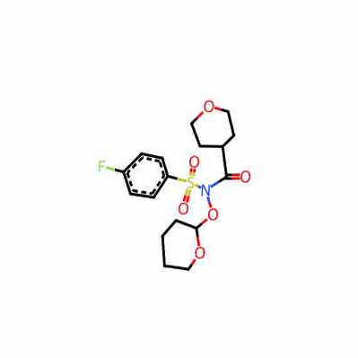 O=C(C1CCOCC1)N(OC1CCCCO1)S(=O)(=O)c1ccc(F)cc1